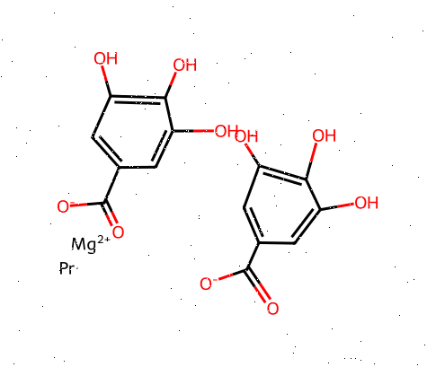 O=C([O-])c1cc(O)c(O)c(O)c1.O=C([O-])c1cc(O)c(O)c(O)c1.[Mg+2].[Pr]